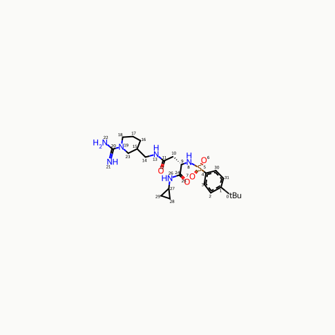 CC(C)(C)c1ccc(S(=O)(=O)N[C@@H](CC(=O)NCC2CCCN(C(=N)N)C2)C(=O)NC2CC2)cc1